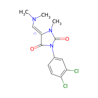 CN(C)/C=C1/C(=O)N(c2ccc(Cl)c(Cl)c2)C(=O)N1C